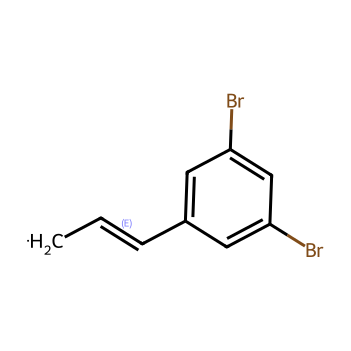 [CH2]/C=C/c1cc(Br)cc(Br)c1